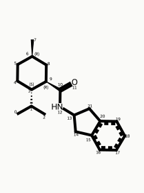 CC(C)[C@@H]1CC[C@@H](C)C[C@H]1C(=O)NC1Cc2ccccc2C1